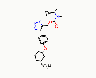 C[C@H](C1CC1)N(C)C(=O)OCc1c(-c2ccc(O[C@H]3CCC[C@H](C(=O)O)C3)cc2)nnn1C